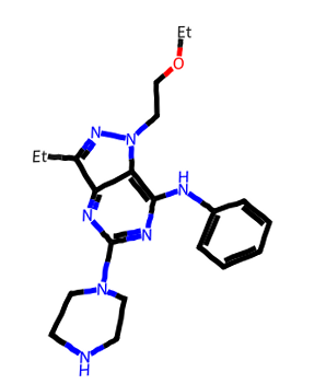 CCOCCn1nc(CC)c2nc(N3CCNCC3)nc(Nc3ccccc3)c21